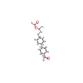 CC(=O)OC(C)CCc1ccc(-c2ccc(C(C)=O)cc2)cc1